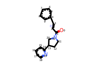 O=C(/C=C/c1ccccc1)N1CCC(c2ccccn2)C1